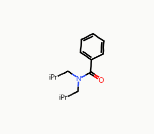 CC(C)CN(CC(C)C)C(=O)c1ccccc1